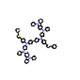 c1ccc(-c2ccc(-c3ccc(N(c4ccc(-c5ccc(N(c6ccc(-c7ccc(-c8ccccc8)s7)cc6)c6ccc(N(c7ccccc7)c7ccc8c(c7)c7ccccc7n8-c7ccccc7)cc6)cc5)cc4)c4ccc(N(c5ccccc5)c5ccc6c(c5)c5ccccc5n6-c5ccccc5)cc4)cc3)s2)cc1